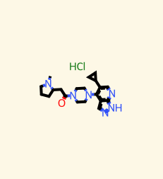 CN1CCCC1CC(=O)N1CCN(c2c(C3CC3)cnc3[nH]ncc23)CC1.Cl